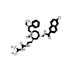 CC[C@H](CN1CC[C@H](CNC(=O)c2ccc3cc(Cl)ccc3c2)C[C@@H](CCNC(=O)NC(C)C)[N+]1=O)c1ccccc1